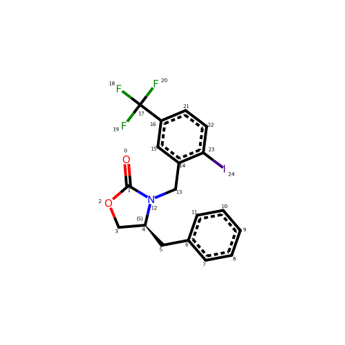 O=C1OC[C@H](Cc2ccccc2)N1Cc1cc(C(F)(F)F)ccc1I